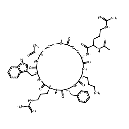 CC(=O)NC(CCCNC(=N)N)C(=O)N[C@H]1CCC(=O)NCCC[C@@H](C(N)=O)NC(=O)[C@H](Cc2c[nH]c3ccccc23)NC(=O)[C@H](CCCNC(=N)N)NC(=O)[C@@H](Cc2ccccc2)NC(=O)[C@H](CCCN)NC1=O